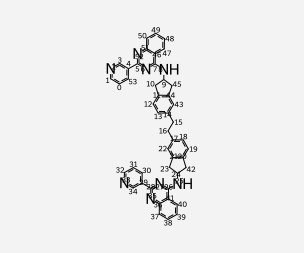 c1cncc(-c2nc(NC3Cc4ccc(CCc5ccc6c(c5)CC(Nc5nc(-c7cccnc7)nc7ccccc57)C6)cc4C3)c3ccccc3n2)c1